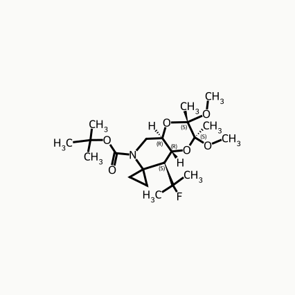 CO[C@@]1(C)O[C@H]2[C@@H](CN(C(=O)OC(C)(C)C)C3(CC3)[C@@H]2C(C)(C)F)O[C@]1(C)OC